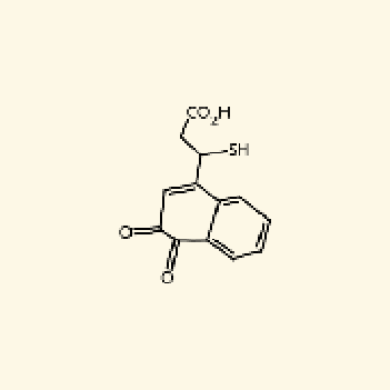 O=C(O)CC(S)C1=CC(=O)C(=O)c2ccccc21